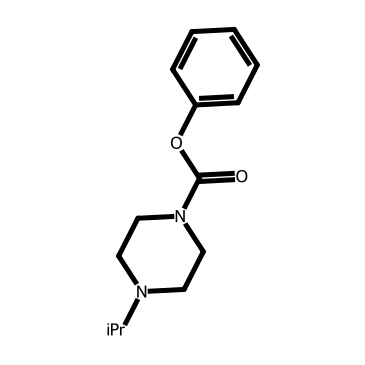 CC(C)N1CCN(C(=O)Oc2ccccc2)CC1